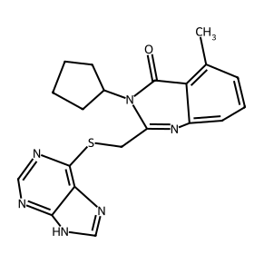 Cc1cccc2nc(CSc3ncnc4[nH]cnc34)n(C3CCCC3)c(=O)c12